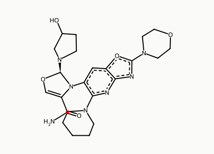 NC(=O)C1=CO[C@@H](N2CCC(O)C2)N1c1cc2oc(N3CCOCC3)nc2nc1N1CCCCC1